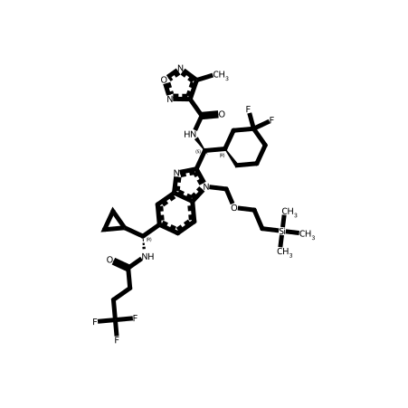 Cc1nonc1C(=O)N[C@H](c1nc2cc([C@H](NC(=O)CCC(F)(F)F)C3CC3)ccc2n1COCC[Si](C)(C)C)[C@@H]1CCCC(F)(F)C1